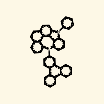 c1ccc(-n2c3ccc4ccc5cccc6c5c4c3c3c(cccc32)n6-c2ccc3c4ccccc4c4ccccc4c3c2)cc1